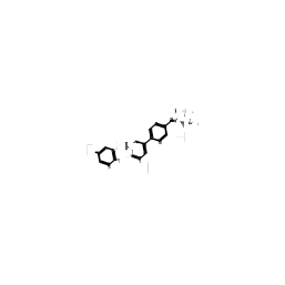 CS(=O)(=O)NC(=O)c1cc(F)c(-c2cnc(Oc3c(Cl)cc(F)cc3Cl)c(Cl)c2)cc1F